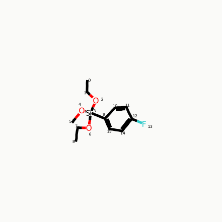 CCO[Si](OC)(OCC)c1ccc(F)cc1